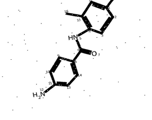 Cc1ccc(NC(=O)c2ccc(N)cc2)c(C)c1